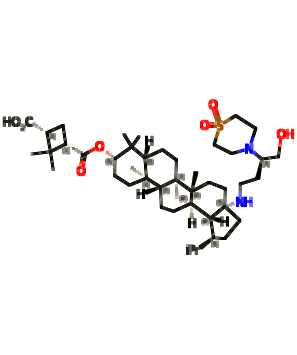 CC(C)[C@@H]1CC[C@]2(NCC[C@H](CO)N3CCS(=O)(=O)CC3)CC[C@]3(C)[C@H](CC[C@@H]4[C@@]5(C)CC[C@H](OC(=O)[C@H]6C[C@@H](C(=O)O)C6(C)C)C(C)(C)[C@@H]5CC[C@]43C)[C@@H]12